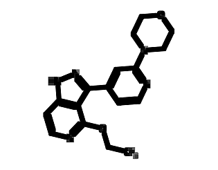 FC(F)(F)COc1nccc2[nH]nc(-c3ccnc(N4CCOCC4)c3)c12